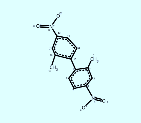 Cc1cc([N+](=O)[O-])ccc1-c1ccc([N+](=O)[O-])cc1C